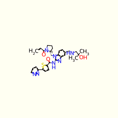 C=CC(=O)N1CCC[C@@H]1Cn1c(NC(=O)c2ccc(-c3cccnn3)s2)nc2cc(CNCC(C)(C)O)ccc21